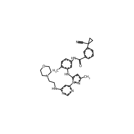 Cc1cc(Nc2cc(NC(=O)c3cccc(C4(C#N)CC4)c3)ccc2C)n(-c2cc(NCCN3CCOCC3)ncn2)n1